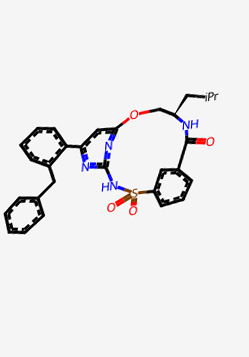 CC(C)C[C@@H]1COc2cc(-c3ccccc3Cc3ccccc3)nc(n2)NS(=O)(=O)c2cccc(c2)C(=O)N1